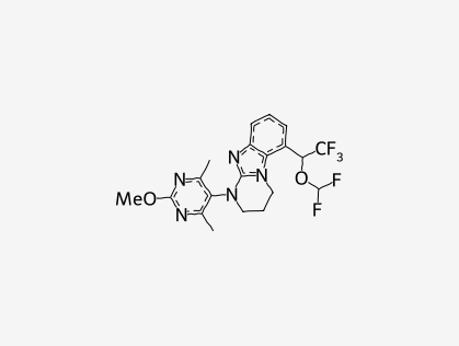 COc1nc(C)c(N2CCCn3c2nc2cccc(C(OC(F)F)C(F)(F)F)c23)c(C)n1